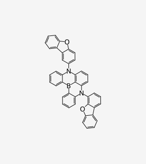 c1ccc2c(c1)B1c3ccccc3N(c3cccc4c3oc3ccccc34)c3cccc(c31)N2c1ccc2oc3ccccc3c2c1